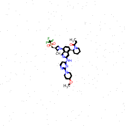 C=CC(=O)N1CCCC[C@H]1c1ccc(N2C[C@H](CS(=O)(=O)C(F)(F)F)[C@H]2C)c2cnc(Nc3ccnc(N4CCC(OC)CC4)n3)cc12